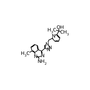 Cc1cccc2c(-c3cn(Cc4cccc(C(C)(C)O)n4)nn3)nc(N)nc12